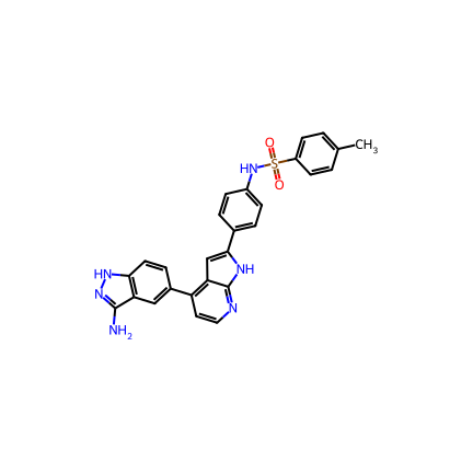 Cc1ccc(S(=O)(=O)Nc2ccc(-c3cc4c(-c5ccc6[nH]nc(N)c6c5)ccnc4[nH]3)cc2)cc1